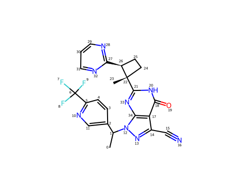 CC(c1ccc(C(F)(F)F)nc1)n1nc(C#N)c2c(=O)[nH]c([C@@]3(C)CC[C@@H]3c3ncccn3)nc21